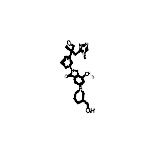 Cn1cnnc1CC1(c2cccc(N3Cc4c(cc(N5CCCC(CO)C5)cc4C(F)(F)F)C3=O)c2)COC1